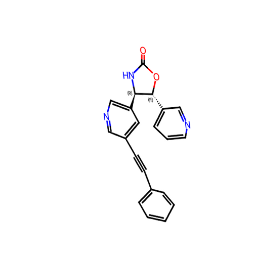 O=C1N[C@H](c2cncc(C#Cc3ccccc3)c2)[C@@H](c2cccnc2)O1